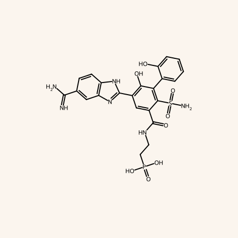 N=C(N)c1ccc2[nH]c(-c3cc(C(=O)NCCP(=O)(O)O)c(S(N)(=O)=O)c(-c4ccccc4O)c3O)nc2c1